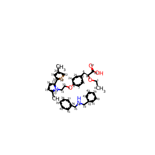 CCO[C@@H](Cc1ccc(OCCn2c(C)ccc2-c2cc(C)cs2)cc1)C(=O)O.c1ccc(CNCc2ccccc2)cc1